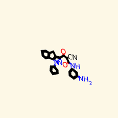 N#CC(C(=O)Nc1cccc(N)c1)C(=O)c1nn(-c2ccccc2)c2c1Cc1ccccc1-2